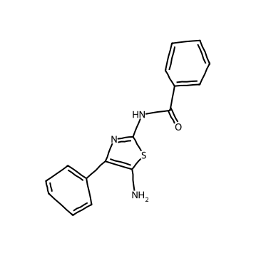 Nc1sc(NC(=O)c2ccccc2)nc1-c1ccccc1